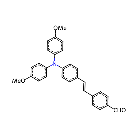 COc1ccc(N(c2ccc(C=Cc3ccc(C=O)cc3)cc2)c2ccc(OC)cc2)cc1